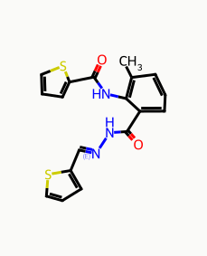 Cc1cccc(C(=O)N/N=C/c2cccs2)c1NC(=O)c1cccs1